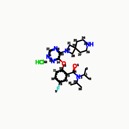 CC(C)N(C(=O)c1cc(F)ccc1Oc1nncnc1N1CC2(CCNCC2)C1)C(C)C.Cl